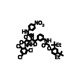 CCC(C)(C)c1ccc(OCC(=O)Nc2cccc(C(=O)Nc3[nH]n(-c4c(Cl)cc(Cl)cc4Cl)c(=O)c3OC(=O)Nc3ccc([N+](=O)[O-])cc3)c2)c(C(C)(C)CC)c1